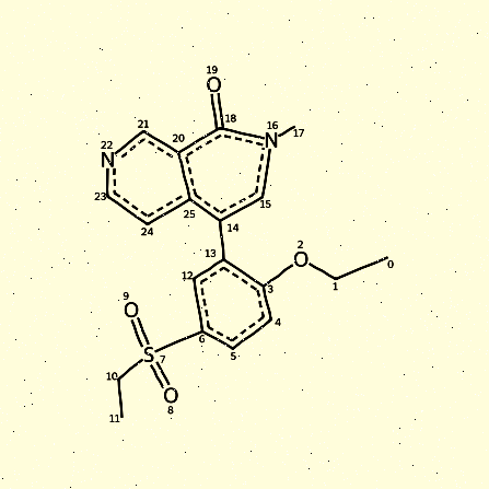 CCOc1ccc(S(=O)(=O)CC)cc1-c1cn(C)c(=O)c2cnccc12